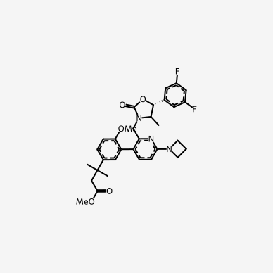 COC(=O)CC(C)(C)c1ccc(OC)c(-c2ccc(N3CCC3)nc2CN2C(=O)O[C@H](c3cc(F)cc(F)c3)C2C)c1